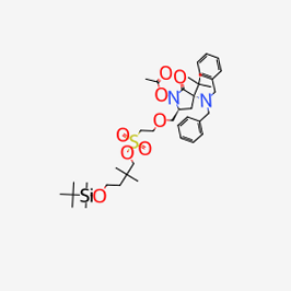 CC(=O)ON1C(=O)[C@@](N(Cc2ccccc2)Cc2ccccc2)(C(C)(C)C)C[C@H]1COCCS(=O)(=O)OCC(C)(C)CCO[Si](C)(C)C(C)(C)C